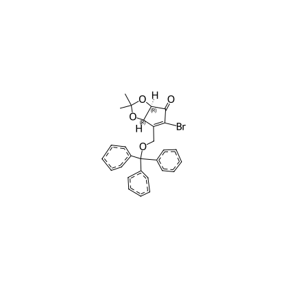 CC1(C)O[C@@H]2C(COC(c3ccccc3)(c3ccccc3)c3ccccc3)=C(Br)C(=O)[C@@H]2O1